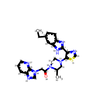 CCc1ccc2nc(-c3ncsc3N3CCN(C(=O)Cn4cnc5cccnc54)C(C)C3)[nH]c2c1